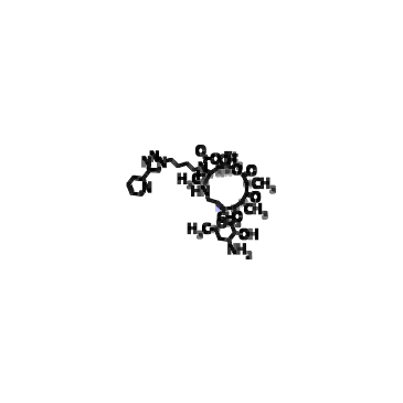 CC[C@H]1OC(=O)[C@H](C)C(=O)[C@H](C)[C@@H](O[C@@H]2O[C@H](C)CC(N)C2O)/C(C)=C/CN[C@H](C)[C@H]2N(CCCCn3cc(-c4ccccn4)nn3)C(=O)O[C@]12C